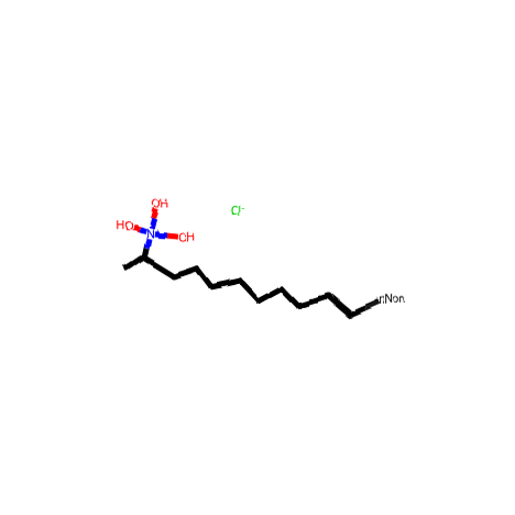 CCCCCCCCCCCCCCCCCCC(C)[N+](O)(O)O.[Cl-]